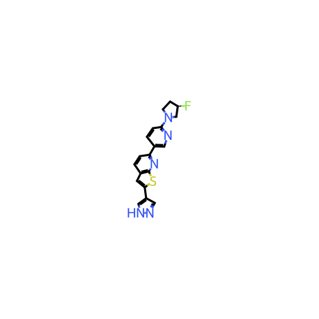 F[C@@H]1CCN(c2ccc(-c3ccc4cc(-c5cn[nH]c5)sc4n3)cn2)C1